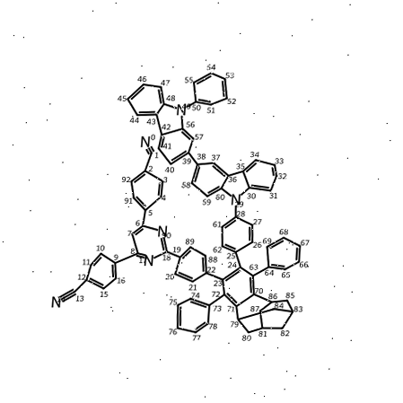 N#Cc1ccc(-c2cc(-c3ccc(C#N)cc3)nc(-c3ccc(-c4c(-c5ccc(-n6c7ccccc7c7cc(-c8ccc9c%10ccccc%10n(-c%10ccccc%10)c9c8)ccc76)cc5)c(-c5ccccc5)c5c(c4-c4ccccc4)C4CC6CC(C4)CC5C6)cc3)n2)cc1